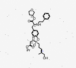 C/C(=C\CCP(=O)(N[C@@H](C)C(=O)OC(C)C)Oc1ccc(C[C@H](NCCc2ccccc2)C(=O)O[C@H]2CCOC2)cc1)CO